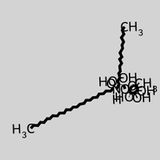 CCCCCCCCCCCCCCCCCCCCCCCCCC(=O)N[C@@H](CO[C@H]1O[C@@H](C)[C@@H](O)[C@@H](O)[C@@H]1O)[C@H](O)[C@H](O)CCCCCCCCCCCCCC